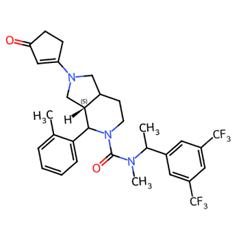 Cc1ccccc1C1[C@@H]2CN(C3=CC(=O)CC3)CC2CCN1C(=O)N(C)C(C)c1cc(C(F)(F)F)cc(C(F)(F)F)c1